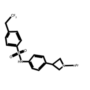 CCCN1CC(c2ccc(NS(=O)(=O)c3ccc(CC(F)(F)F)cc3)cc2)C1